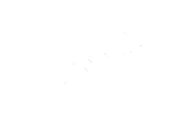 O=C(Nc1ccn(-c2c(Cl)cccc2Cl)n1)c1ccccc1Cl